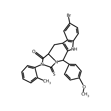 COc1ccc(C2c3[nH]c4ccc(Br)cc4c3CC3C(=O)N(c4ccccc4C)C(=S)N32)cc1